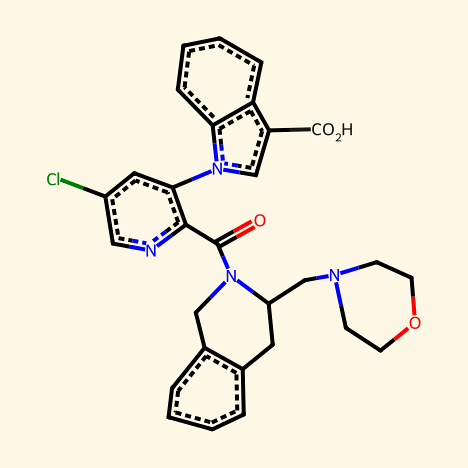 O=C(O)c1cn(-c2cc(Cl)cnc2C(=O)N2Cc3ccccc3CC2CN2CCOCC2)c2ccccc12